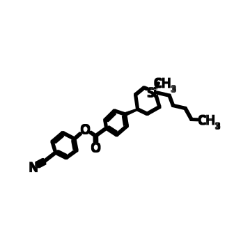 CCCCC[Si@]1(C)CC[C@@H](c2ccc(C(=O)Oc3ccc(C#N)cc3)cc2)CC1